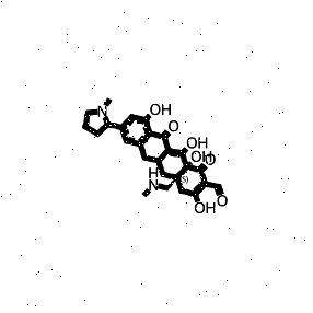 CNC[C@]12CC(O)=C(C=O)C(=O)[C@@]1(O)C(O)=C1C(=O)c3c(O)cc(C4CCCN4C)cc3CC1C2